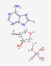 Cc1nc2c(N)ncnc2n1[C@@H]1O[C@H](COP(=O)(O)O)[C@@H](O)[C@H]1S